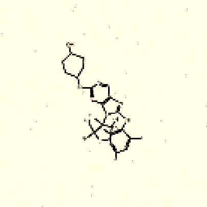 [2H]C1([2H])COC([2H])([2H])C1([2H])n1c(Nc2c(F)cc(F)cc2F)nc2cnc(NC3CCC(O)CC3)nc21